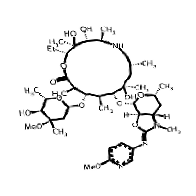 CC[C@H]1OC(=O)[C@H](C)[C@@H](O[C@H]2C[C@@](C)(OC)[C@@H](O)[C@H](C)O2)[C@H](C)[C@@H](O[C@@H]2O[C@H](C)C[C@H]3[C@H]2O/C(=N\c2ccc(OC)nc2)N3C)[C@](C)(O)C[C@@H](C)CN[C@H](C)[C@@H](O)[C@]1(C)O